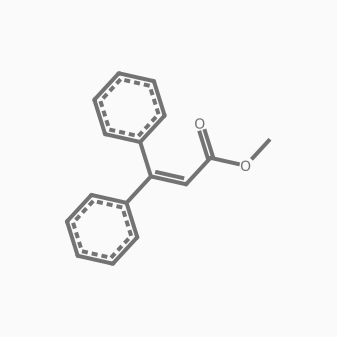 COC(=O)C=C(c1ccccc1)c1ccccc1